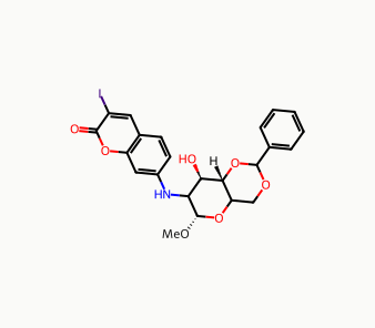 CO[C@H]1OC2COC(c3ccccc3)O[C@H]2[C@H](O)C1Nc1ccc2cc(I)c(=O)oc2c1